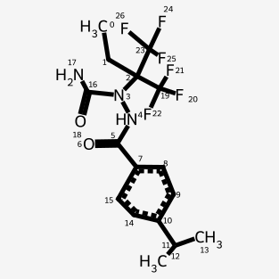 CCC(N(NC(=O)c1ccc(C(C)C)cc1)C(N)=O)(C(F)(F)F)C(F)(F)F